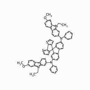 CCn1c2cc(OC)ccc2c2ccc(N(c3ccccc3)c3ccc4c(c3)C3(c5cc(N(c6ccccc6)c6ccc7c8ccc(OC)cc8n(CC)c7c6)ccc5-4)c4ccsc4-c4sccc43)cc21